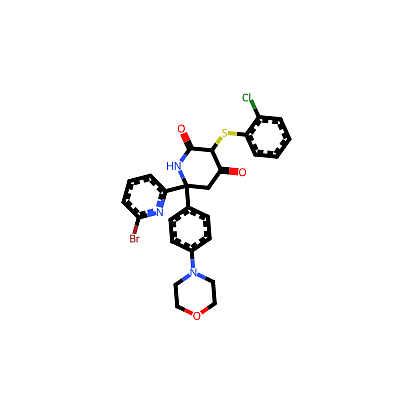 O=C1CC(c2ccc(N3CCOCC3)cc2)(c2cccc(Br)n2)NC(=O)C1Sc1ccccc1Cl